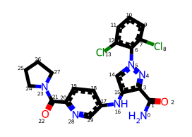 NC(=O)c1nn(-c2c(Cl)cccc2Cl)cc1Nc1ccc(C(=O)N2CCCC2)nc1